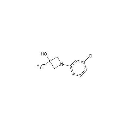 CC1(O)CN(c2cccc(Cl)c2)C1